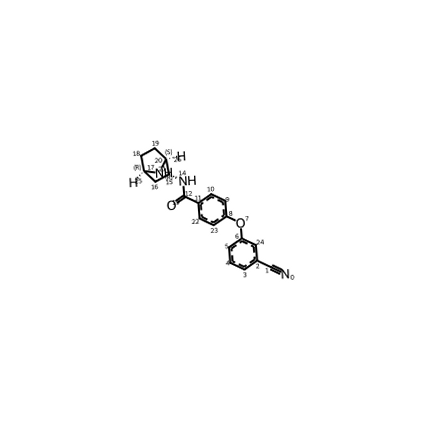 N#Cc1cccc(Oc2ccc(C(=O)N[C@@H]3C[C@H]4CC[C@@H]3N4)cc2)c1